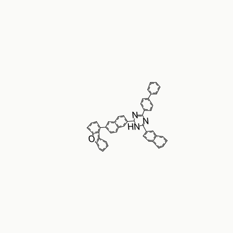 c1ccc(-c2ccc(C3=NC(c4ccc5cc(-c6cccc7oc8ccccc8c67)ccc5c4)NC(c4ccc5ccccc5c4)=N3)cc2)cc1